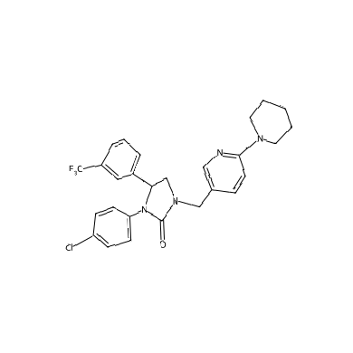 O=C1N(Cc2ccc(N3CCCCC3)nc2)CC(c2cccc(C(F)(F)F)c2)N1c1ccc(Cl)cc1